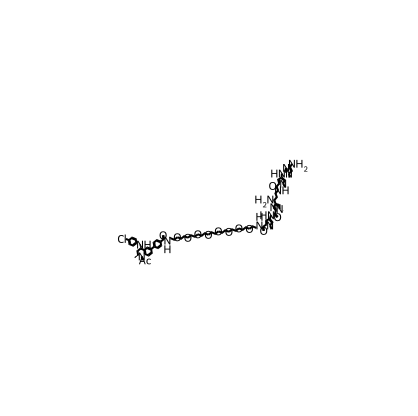 CC(=O)N1c2ccc(-c3ccc(C(=O)NCCOCCOCCOCCOCCOCCOCCOCCOCCNC(=O)c4cc(NC(=O)c5nc(C(N)CCNC(=O)c6cc(Nc7nc(N)cn7C)cn6C)cn5C)cn4C)cc3)cc2[C@H](Nc2ccc(Cl)cc2)C[C@@H]1C